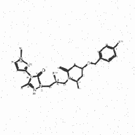 C=C1CC(OCc2ccc(F)cc2)CC(C)N1C[C@H](F)Cn1nc(C)n(-c2ccn(C)n2)c1=O